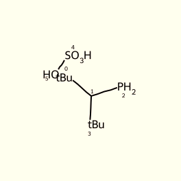 CC(C)(C)C(P)C(C)(C)C.O=S(=O)(O)O